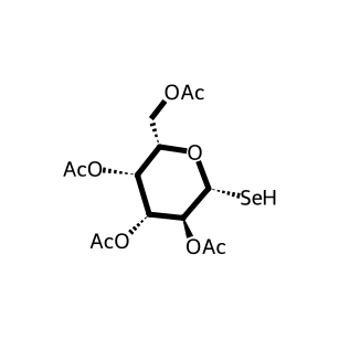 CC(=O)OC[C@@H]1O[C@H]([SeH])[C@@H](OC(C)=O)[C@H](OC(C)=O)[C@@H]1OC(C)=O